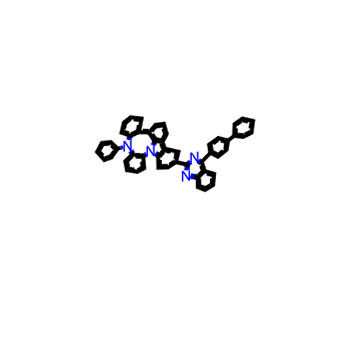 c1ccc(-c2ccc(-c3nc(-c4ccc5c(c4)c4cccc6c7ccccc7n(-c7ccccc7)c7ccccc7n5c64)nc4ccccc34)cc2)cc1